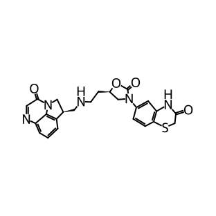 O=C1CSc2ccc(N3C[C@@H](CCNC[C@@H]4Cn5c(=O)cnc6cccc4c65)OC3=O)cc2N1